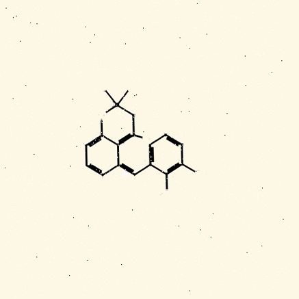 CC1=c2c(ccc/c2=C/c2cccc(F)c2F)OC(C)(C)C1